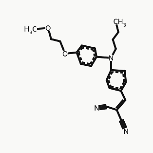 CCCCN(c1ccc(C=C(C#N)C#N)cc1)c1ccc(OCCOC)cc1